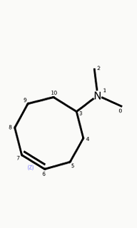 CN(C)C1CC/C=C\CCC1